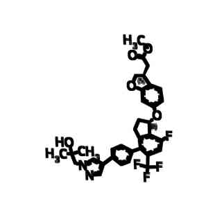 COC(=O)C[C@@H]1COc2cc(O[C@@H]3CCc4c(-c5ccc(-c6cnn(CC(C)(C)O)c6)cc5)c(C(F)(F)F)cc(F)c43)ccc21